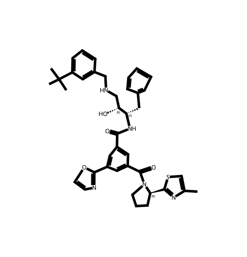 Cc1csc([C@H]2CCCN2C(=O)c2cc(C(=O)N[C@@H](Cc3ccccc3)[C@H](O)CNCc3cccc(C(C)(C)C)c3)cc(-c3ncco3)c2)n1